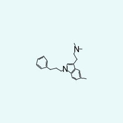 Cc1ccc2c(c1)c(CCN(C)C)cn2CCCc1ccccc1